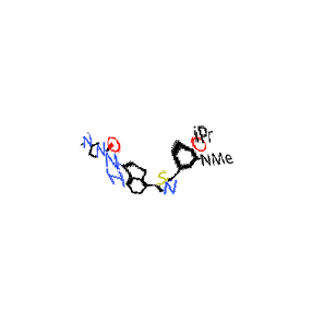 CNc1cc(-c2ncc(C3=C4CC[C@H](NC(=O)N5CC[C@H](N(C)C)C5)C4=CCC3)s2)ccc1OC(C)C